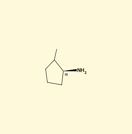 CC1CCC[C@@H]1N